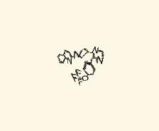 FC(F)(F)Oc1ccc(-c2nccnc2C2CN(c3ccc4ccccc4n3)C2)cc1